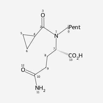 CCCC(C)N(C(=O)C1CC1)[C@@H](CCC(N)=O)C(=O)O